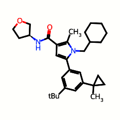 Cc1c(C(=O)N[C@H]2CCOC2)cc(-c2cc(C(C)(C)C)cc(C3(C)CC3)c2)n1CC1CCCCC1